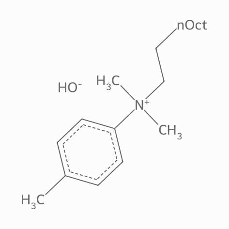 CCCCCCCCCC[N+](C)(C)c1ccc(C)cc1.[OH-]